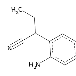 CCC(C#N)c1ccccc1N